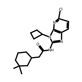 CC1(C)CCCC(CC(=O)Nc2nc3ccc(Cl)nc3n2C2CCC2)C1